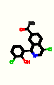 O=NC(=O)c1ccc2c(Cl)cnc(-c3cccc(Cl)c3O)c2c1